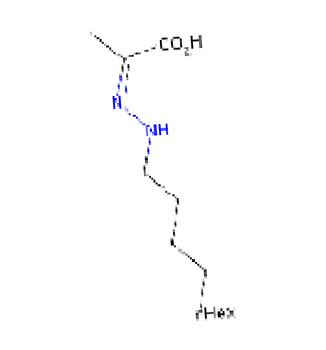 CCCCCCCCCCN/N=C(/C)C(=O)O